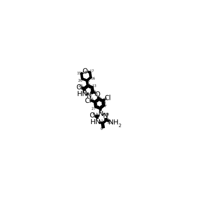 C=C1NC(=O)N(c2cc(Cl)c(Oc3cc(C4CCOCC4)c(=O)[nH]n3)c(Cl)c2)N=C1N